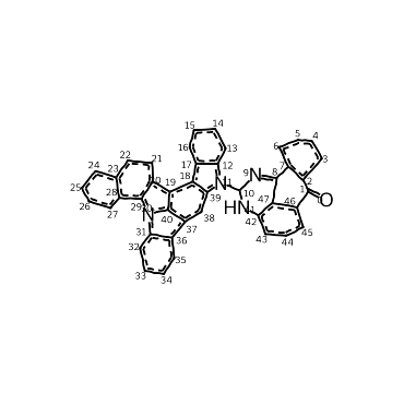 O=C1c2ccccc2C2=NC(n3c4ccccc4c4c5c6ccc7ccccc7c6n6c7ccccc7c(cc43)c56)Nc3cccc1c32